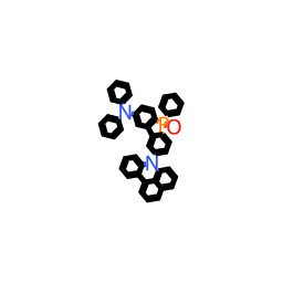 O=P1(c2ccccc2)c2ccc(N(c3ccccc3)c3ccccc3)cc2-c2cc(N3c4ccccc4-c4cccc5cccc3c45)ccc21